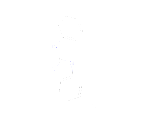 N#Cc1ccc2nc(Nc3ccccc3)[nH]c2c1